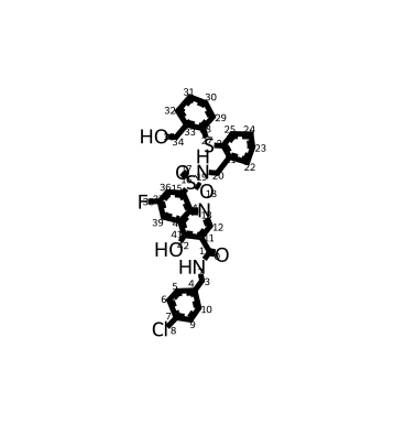 O=C(NCc1ccc(Cl)cc1)c1cnc2c(S(=O)(=O)NCc3ccccc3Sc3ccccc3CO)cc(F)cc2c1O